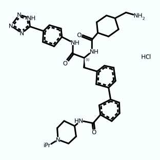 CC(C)N1CCC(NC(=O)c2cccc(-c3cccc(C[C@H](NC(=O)C4CCC(CN)CC4)C(=O)Nc4ccc(-c5nnn[nH]5)cc4)c3)c2)CC1.Cl